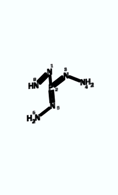 N=N/P(=N\N)=N\N